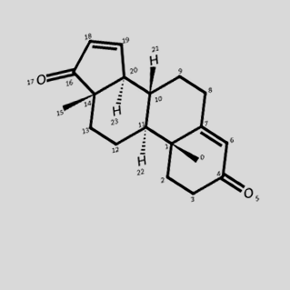 C[C@]12CCC(=O)C=C1CC[C@@H]1[C@@H]2CC[C@]2(C)C(=O)C=C[C@@H]12